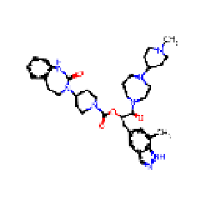 Cc1cc(C[C@@H](OC(=O)N2CCC(N3CCc4ccccc4NC3=O)CC2)C(=O)N2CCCN(C3CCN(C)CC3)CC2)cc2cn[nH]c12